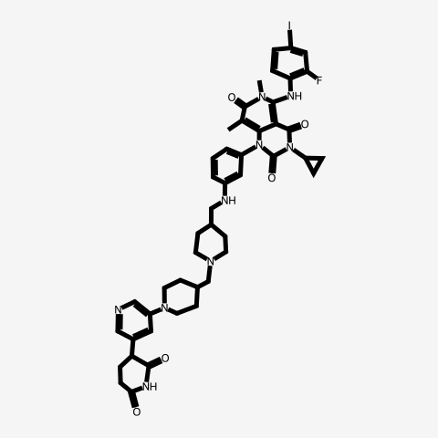 Cc1c(=O)n(C)c(Nc2ccc(I)cc2F)c2c(=O)n(C3CC3)c(=O)n(-c3cccc(NCC4CCN(CC5CCN(c6cncc(C7CCC(=O)NC7=O)c6)CC5)CC4)c3)c12